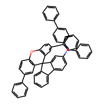 c1ccc(-c2ccc(N(c3ccccc3)c3ccc4c(c3)C3(c5cc(-c6ccccc6)ccc5Oc5ccc(-c6ccccc6)cc53)c3ccccc3-4)cc2)cc1